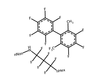 CCCCCCCCCNC(F)(F)C(F)(F)C(F)(F)CCCCCC.Cc1c(F)c(F)c(F)c(C(F)(F)F)c1-c1c(F)c(F)c(F)c(F)c1F